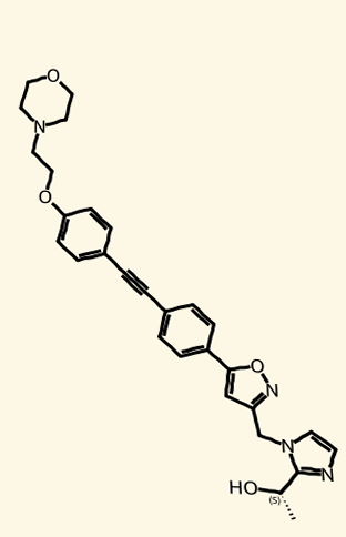 C[C@H](O)c1nccn1Cc1cc(-c2ccc(C#Cc3ccc(OCCN4CCOCC4)cc3)cc2)on1